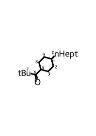 CCCCCCCC1CCC(C(=O)C(C)(C)C)CC1